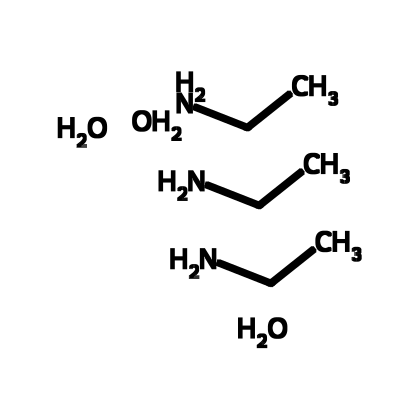 CCN.CCN.CCN.O.O.O